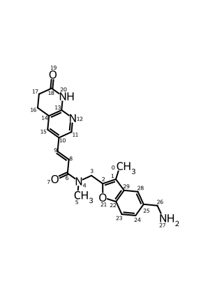 Cc1c(CN(C)C(=O)/C=C/c2cnc3c(c2)CCC(=O)N3)oc2ccc(CN)cc12